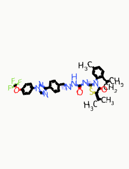 CC(C)=C1S/C(=N\C(=O)N/N=C/c2ccc(-c3ncn(-c4ccc(OC(F)(F)F)cc4)n3)cc2)N(c2cc(C)ccc2C(C)C)C1=O